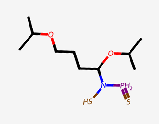 CC(C)OCCCC(OC(C)C)N(S)[PH2]=S